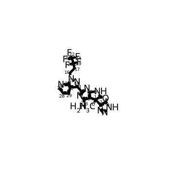 CC1(c2c[nH]nn2)C(=O)Nc2nc(-c3nn(CCC(F)(F)C(F)(F)F)c4ncccc34)nc(N)c21